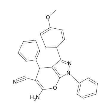 COc1ccc(-c2nn(-c3ccccc3)c3c2C(c2ccccc2)C(C#N)=C(N)O3)cc1